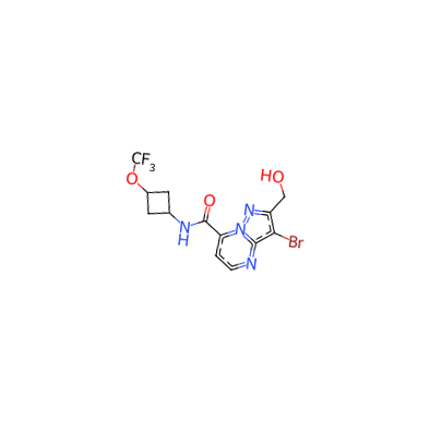 O=C(NC1CC(OC(F)(F)F)C1)c1ccnc2c(Br)c(CO)nn12